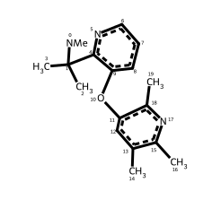 CNC(C)(C)c1ncccc1Oc1cc(C)c(C)nc1C